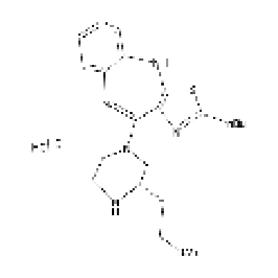 CCCCc1nc2c(s1)Nc1ccccc1N=C2N1CCN[C@@H](CCOC)C1.Cl.Cl